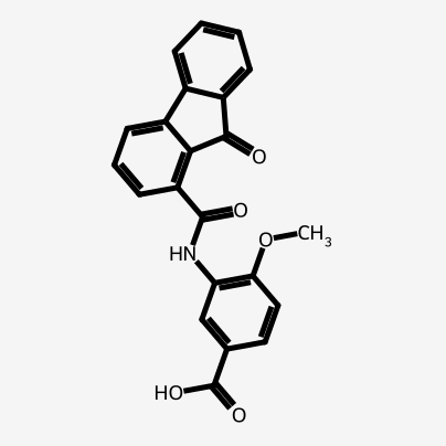 COc1ccc(C(=O)O)cc1NC(=O)c1cccc2c1C(=O)c1ccccc1-2